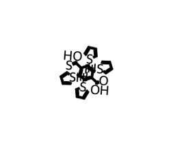 O=C(O)c1c([SH]2C=CC=C2)c([SH]2C=CC=C2)c(C(O)=S)c([SH]2C=CC=C2)c1[SH]1C=CC=C1